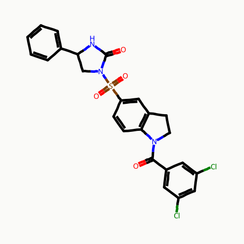 O=C(c1cc(Cl)cc(Cl)c1)N1CCc2cc(S(=O)(=O)N3CC(c4ccccc4)NC3=O)ccc21